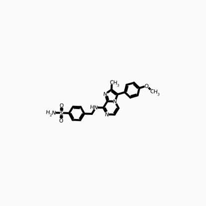 COc1ccc(-c2c(C)nc3c(NCc4ccc(S(N)(=O)=O)cc4)nccn23)cc1